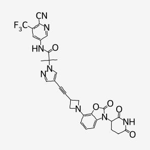 CC(C)(C(=O)Nc1cnc(C#N)c(C(F)(F)F)c1)n1cc(C#CC2CN(c3cccc4c3oc(=O)n4C3CCC(=O)NC3=O)C2)cn1